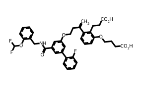 C=C(CCOc1cc(C(=O)NCc2ccccc2OC(F)F)cc(-c2ccccc2F)c1)c1cccc(OCCCC(=O)O)c1CCC(=O)O